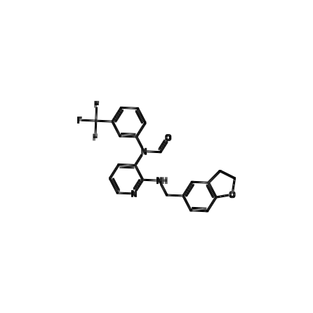 O=CN(c1cccc(C(F)(F)F)c1)c1cccnc1NCc1ccc2c(c1)CCO2